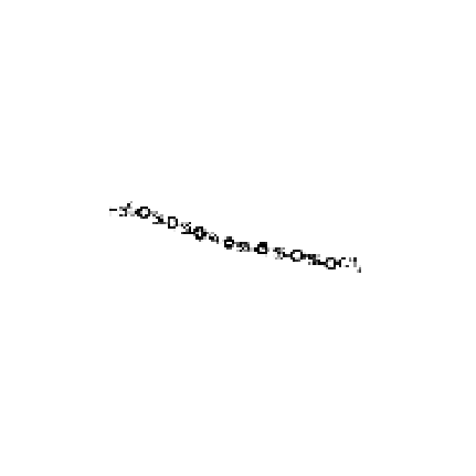 C[C@H]1CC[C@@H](CSSC[C@H]2CC[C@@H](CSSC[C@H]3CC[C@@H](CSSC[C@H]4CC[C@@H](CSSC[C@H]5CC[C@@H](CSSC[C@H]6CC[C@@H](CSSC[C@H]7CC[C@@H](CSS)CC7)CC6)CC5)CC4)CC3)CC2)CC1